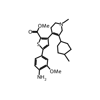 COC(=O)c1sc(-c2ccc(N)c(OC)c2)cc1C1=C(C2CCC(C)CC2)CN(C)CC1